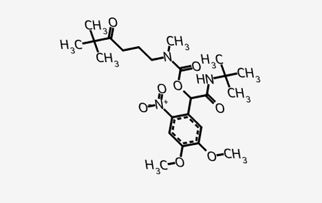 COc1cc(C(OC(=O)N(C)CCCC(=O)C(C)(C)C)C(=O)NC(C)(C)C)c([N+](=O)[O-])cc1OC